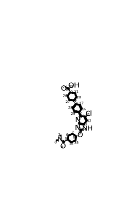 CN(C)C(=O)[C@H]1CC[C@H](Oc2nc3nc(-c4ccc([C@H]5CC[C@H](C(=O)O)CC5)cc4)c(Cl)cc3[nH]2)CC1